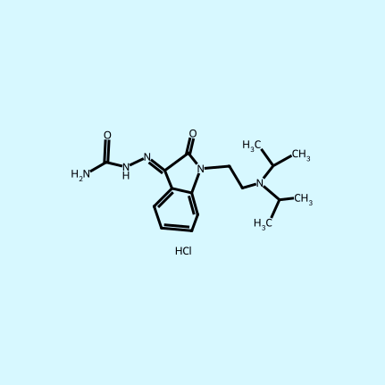 CC(C)N(CCN1C(=O)/C(=N/NC(N)=O)c2ccccc21)C(C)C.Cl